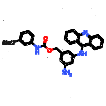 COc1cccc(NC(=O)OCc2cc(N)cc(Nc3c4ccccc4nc4ccccc34)c2)c1